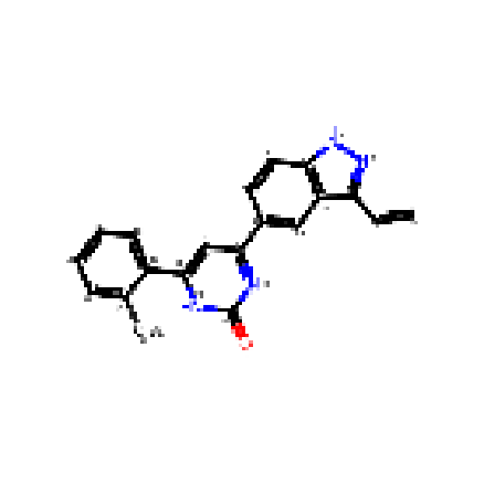 C=Cc1n[nH]c2ccc(-c3cc(-c4ccccc4OCC(C)C)[nH]c(=O)n3)cc12